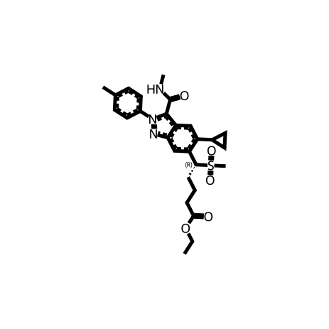 CCOC(=O)CCC[C@H](c1cc2nn(-c3ccc(C)cc3)c(C(=O)NC)c2cc1C1CC1)S(C)(=O)=O